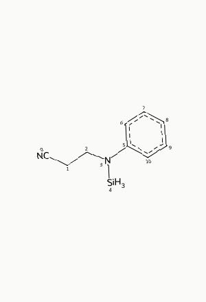 N#CCCN([SiH3])c1ccccc1